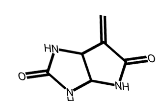 C=C1C(=O)NC2NC(=O)NC12